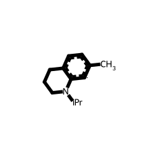 Cc1[c]c2c(cc1)CCCN2C(C)C